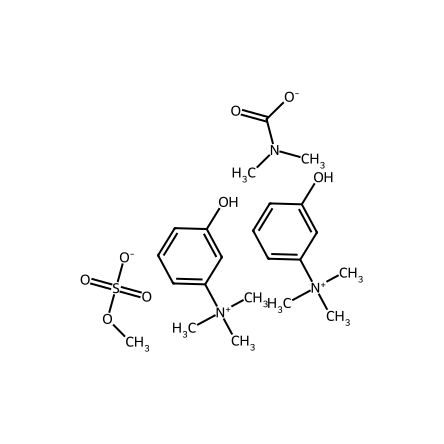 CN(C)C(=O)[O-].COS(=O)(=O)[O-].C[N+](C)(C)c1cccc(O)c1.C[N+](C)(C)c1cccc(O)c1